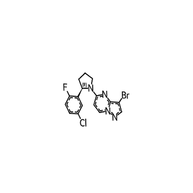 Fc1ccc(Cl)cc1[C@H]1CCCN1c1ccn2ncc(Br)c2n1